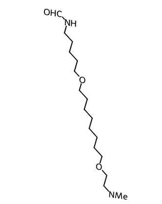 CNCCOCCCCCCCCOCCCCCNC=O